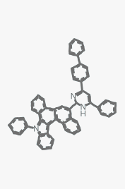 C1=C(c2ccccc2)NC(c2cc3c4ccccc4c4c(c5ccccc5n4-c4ccccc4)c3c3ccccc23)N=C1c1ccc(-c2ccccc2)cc1